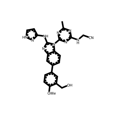 COc1ccc(-c2ccc3c(c2)nc(Nc2cc[nH]n2)n3-c2nc(C)nc(NCC#N)n2)cc1CO